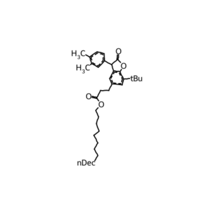 CCCCCCCCCCCCCCCCCCOC(=O)CCc1cc2c(c(C(C)(C)C)c1)OC(=O)C2c1ccc(C)c(C)c1